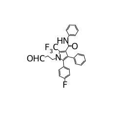 O=CCCn1c(-c2ccc(F)cc2)c(-c2ccccc2)c(C(=O)Nc2ccccc2)c1C(F)(F)F